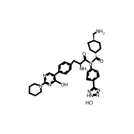 Cl.NC[C@H]1CC[C@H](C(=O)N(C(=O)[C@@H](N)Cc2ccc(-c3cnc(N4CCCCC4)nc3O)cc2)c2ccc(-c3nn[nH]n3)cc2)CC1